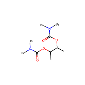 CC(OC(=O)N(C(C)C)C(C)C)C(C)OC(=O)N(C(C)C)C(C)C